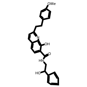 COc1ccc(CCc2ccc3ccc(C(=O)NCC(O)c4ccccc4)c(O)c3n2)cc1